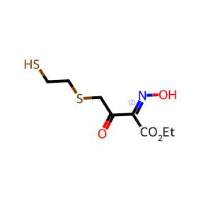 CCOC(=O)/C(=N\O)C(=O)CSCCS